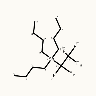 CCC[CH2][Sn]([CH2]CCC)([CH2]CCC)[C](F)(F)C(F)(F)F